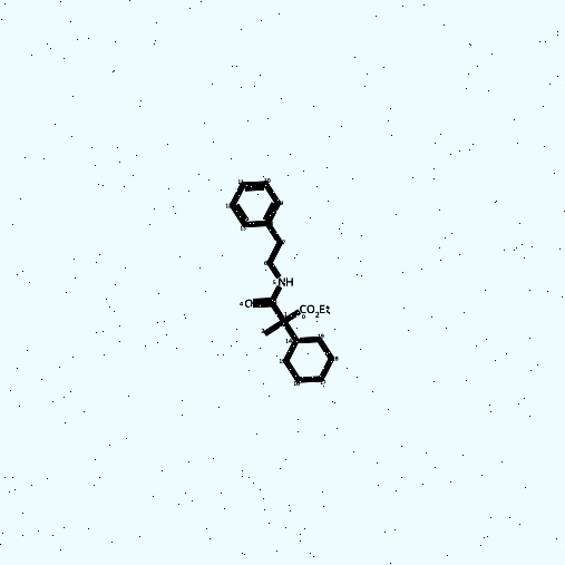 CCOC(=O)C(C)(C(=O)NCCc1ccccc1)C1CCCCC1